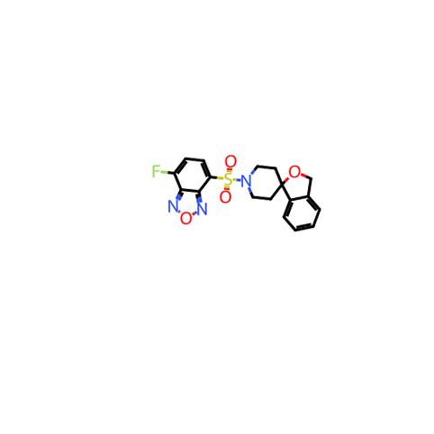 O=S(=O)(c1ccc(F)c2nonc12)N1CCC2(CC1)OCc1ccccc12